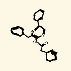 O=C(CC1CCCCC1)Nc1ncc(-c2ccccc2)nc1Cc1ccccc1